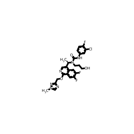 C[C@H](c1cnc(OCc2ncn(C)n2)c2cc(F)c(F)cc12)N(CCCO)C(=O)Nc1ccc(F)c(Cl)c1